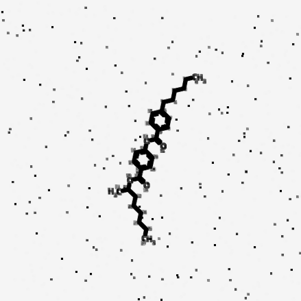 CCCCCCc1ccc(C(=O)Oc2ccc(C(=O)OC(C)CCCCCC)cc2)cc1